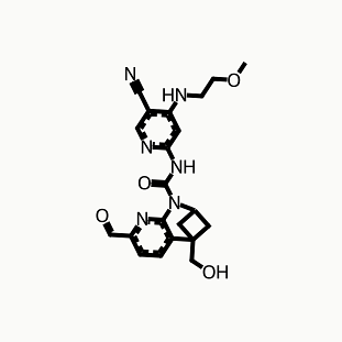 COCCNc1cc(NC(=O)N2c3nc(C=O)ccc3C3(CO)CC2C3)ncc1C#N